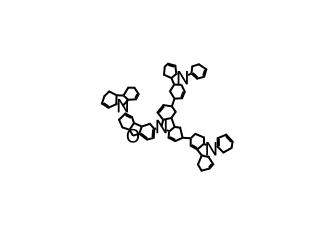 C1=CCCC(N2C3CCC(C4C=CC5C(C4)C4CC(C6C=CC7C(C6)C6CCC=CC6N7C6=CC=CCC6)C=CC4N5C4=CC=C5OC6CCC(N7C8C=CCCC8C8CCC=CC87)=CC6C5C4)C=C3C3CCC=CC32)=C1